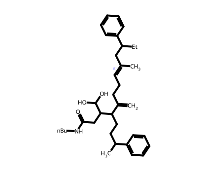 C=C(CC/C=C(\C)CC(CC)c1ccccc1)C(CCC(C)c1ccccc1)C(CC(=O)NCCCC)C(O)O